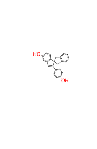 Oc1ccc(C2=Cc3cc(O)ccc3C23Cc2ccccc2C3)cc1